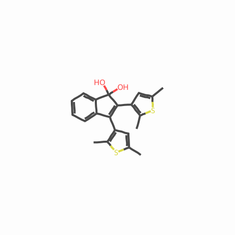 Cc1cc(C2=C(c3cc(C)sc3C)C(O)(O)c3ccccc32)c(C)s1